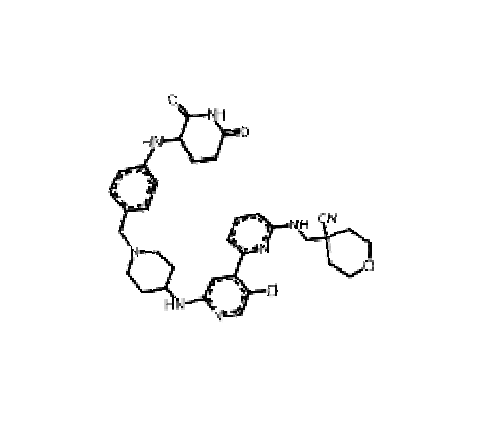 N#CC1(CNc2cccc(-c3cc(NC4CCN(Cc5ccc(NC6CCC(=O)NC6=O)cc5)CC4)ncc3Cl)n2)CCOCC1